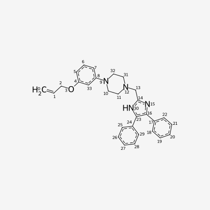 C=CCOc1cccc(N2CCN(Cc3nc(-c4ccccc4)c(-c4ccccc4)[nH]3)CC2)c1